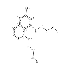 CCCCNc1nc(N)nc2cccc(OCCOC)c12